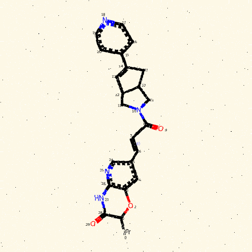 CC(C)C1Oc2cc(/C=C/C(=O)N3CC4C=C(c5ccncc5)CC4C3)cnc2NC1=O